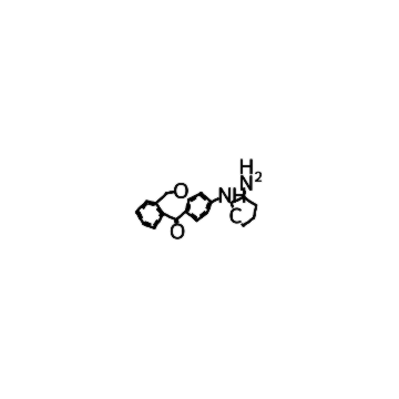 N[C@H]1CCCC[C@@H]1Nc1ccc2c(c1)OCc1ccccc1C2=O